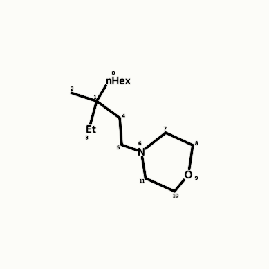 CCCCCCC(C)(CC)CCN1CCOCC1